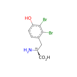 N[C@@H](Cc1ccc(O)c(Br)c1Br)C(=O)O